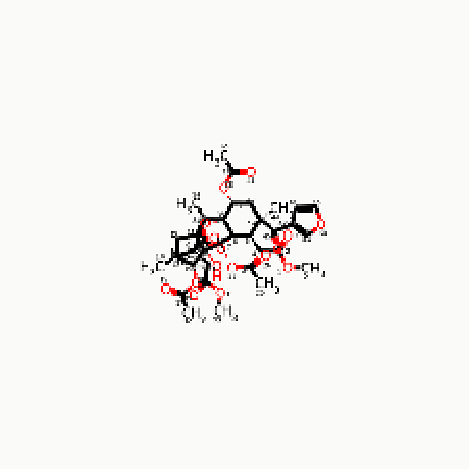 COC(=O)C[C@H]1[C@@]23OC4(C)OC56C[C@@](C)([C@H](OC(C)=O)[C@]5(O)[C@H]2OC(C)=O)[C@H](CC(=O)OC)[C@@]6(C)[C@@]3(O4)[C@H](OC(C)=O)C[C@@]1(C)C(=O)c1ccoc1